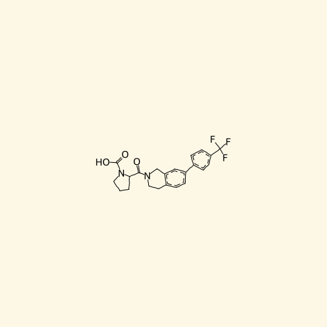 O=C(C1CCCN1C(=O)O)N1CCc2ccc(-c3ccc(C(F)(F)F)cc3)cc2C1